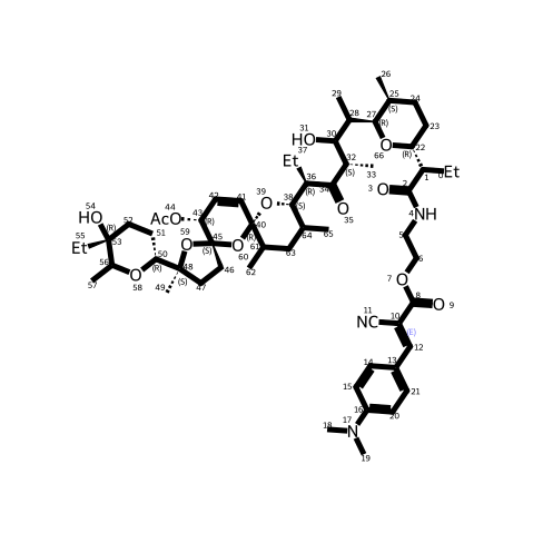 CCC(C(=O)NCCOC(=O)/C(C#N)=C/c1ccc(N(C)C)cc1)[C@H]1CC[C@H](C)[C@H](C(C)C(O)[C@H](C)C(=O)[C@H](CC)[C@H]2O[C@]3(C=C[C@@H](OC(C)=O)[C@]4(CC[C@@](C)([C@H]5CC[C@](O)(CC)C(C)O5)O4)O3)C(C)CC2C)O1